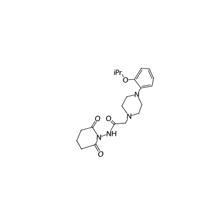 CC(C)Oc1ccccc1N1CCN(CC(=O)NN2C(=O)CCCC2=O)CC1